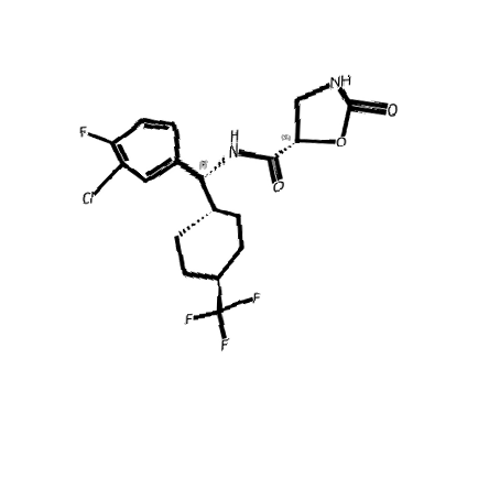 O=C1NC[C@@H](C(=O)N[C@@H](c2ccc(F)c(Cl)c2)[C@H]2CC[C@H](C(F)(F)F)CC2)O1